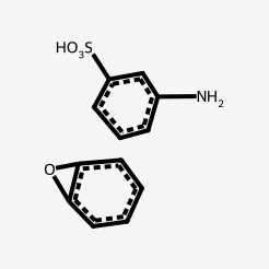 Nc1cccc(S(=O)(=O)O)c1.c1ccc2c(c1)O2